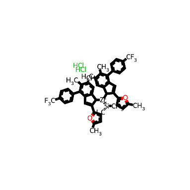 Cc1ccc(C2=Cc3c(cc(C)c(C)c3-c3ccc(C(F)(F)F)cc3)[CH]2[Zr]([CH]2C(c3ccc(C)o3)=Cc3c2cc(C)c(C)c3-c2ccc(C(F)(F)F)cc2)=[Si](C)C)o1.Cl.Cl